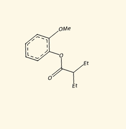 CCC(CC)C(=O)Oc1ccccc1OC